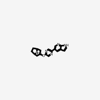 CN1C2CCC1CC(Oc1cnc(-c3cnc4[nH]ccc4c3)cn1)C2